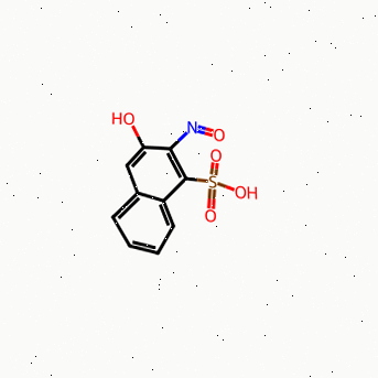 O=Nc1c(O)cc2ccccc2c1S(=O)(=O)O